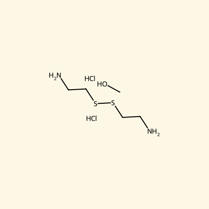 CO.Cl.Cl.NCCSSCCN